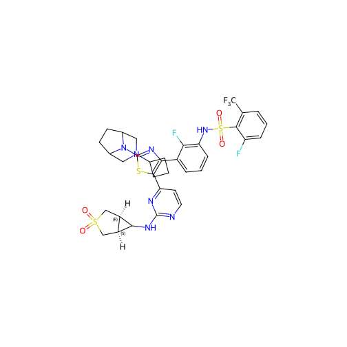 O=S1(=O)C[C@@H]2C(Nc3nccc(-c4sc(N5C6CCC5CN(C5CCC5)C6)nc4-c4cccc(NS(=O)(=O)c5c(F)cccc5C(F)(F)F)c4F)n3)[C@@H]2C1